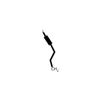 [CH2]CCC#CI